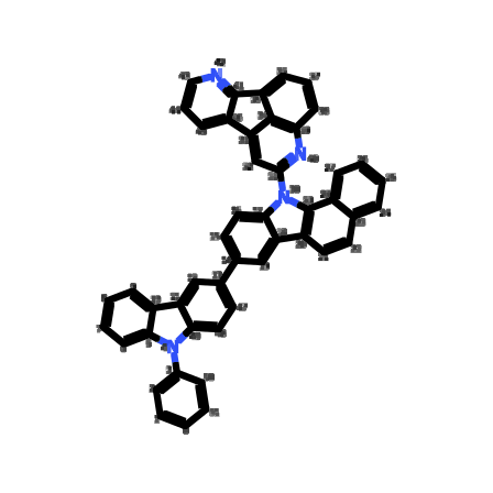 c1ccc(-n2c3ccccc3c3cc(-c4ccc5c(c4)c4ccc6ccccc6c4n5-c4cc5c6c(cccc6n4)-c4ncccc4-5)ccc32)cc1